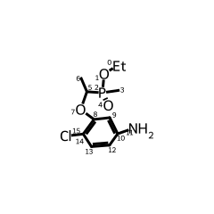 CCOP(C)(=O)C(C)Oc1cc(N)ccc1Cl